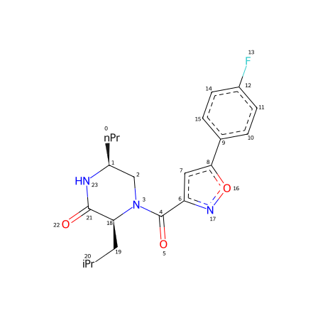 CCC[C@H]1CN(C(=O)c2cc(-c3ccc(F)cc3)on2)[C@@H](CC(C)C)C(=O)N1